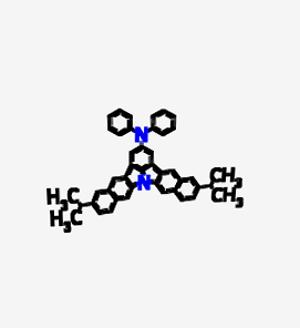 CC(C)c1ccc2cc3c(cc2c1)c1cc(N(c2ccccc2)c2ccccc2)cc2c4cc5cc(C(C)C)ccc5cc4n3c12